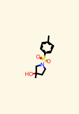 Cc1ccc(S(=O)(=O)N2CCC(C)(O)C2)cc1